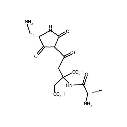 C[C@H](N)C(=O)NC(CC(=O)O)(CC(=O)C1C(=O)N[C@@H](CN)C1=O)C(=O)O